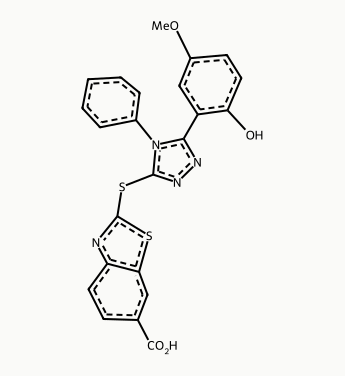 COc1ccc(O)c(-c2nnc(Sc3nc4ccc(C(=O)O)cc4s3)n2-c2ccccc2)c1